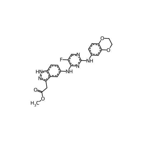 COC(=O)Cc1n[nH]c2ccc(Nc3nc(Nc4ccc5c(c4)OCCO5)ncc3F)cc12